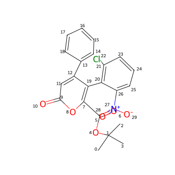 CC(C)(C)OC(=O)c1oc(=O)cc(-c2ccccc2)c1-c1c(Cl)cccc1[N+](=O)[O-]